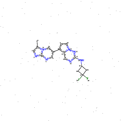 Cc1cnc2ncc(-c3ccn4nc(NC5CC(F)(F)C5)ncc34)cn12